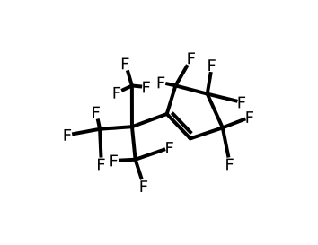 FC(F)(F)C(C1=CC(F)(F)C(F)(F)C1(F)F)(C(F)(F)F)C(F)(F)F